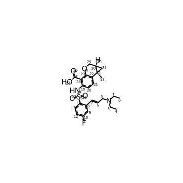 CCN(CC)C/C=C/c1cc(F)ccc1S(=O)(=O)Nc1ccc2c(c1C(=O)O)OC[C@@H]1C[C@]21C